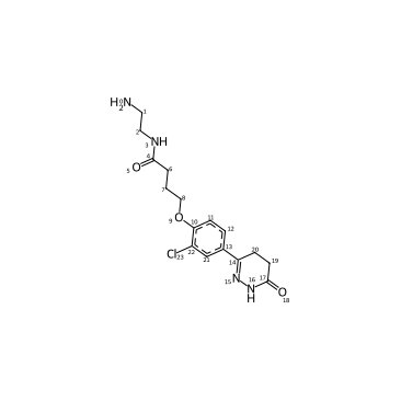 NCCNC(=O)CCCOc1ccc(C2=NNC(=O)CC2)cc1Cl